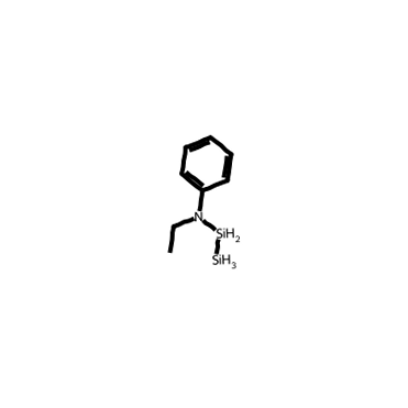 CCN([SiH2][SiH3])c1ccccc1